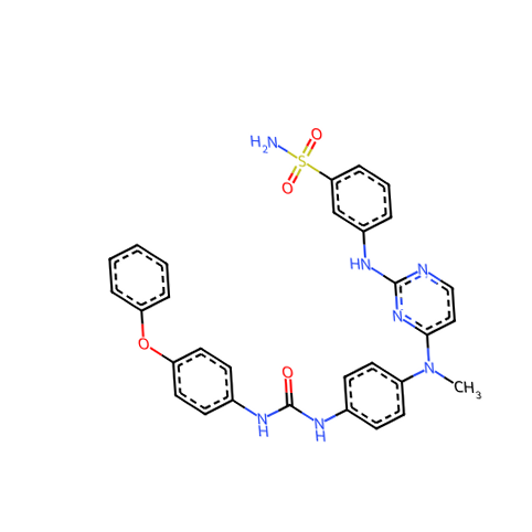 CN(c1ccc(NC(=O)Nc2ccc(Oc3ccccc3)cc2)cc1)c1ccnc(Nc2cccc(S(N)(=O)=O)c2)n1